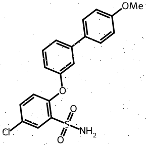 COc1ccc(-c2cccc(Oc3ccc(Cl)cc3S(N)(=O)=O)c2)cc1